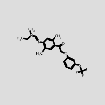 CCN(C)C=Nc1cc(C)c(C(=O)COc2cccc(SC(F)(F)F)c2)cc1C